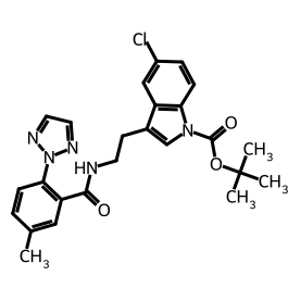 Cc1ccc(-n2nccn2)c(C(=O)NCCc2cn(C(=O)OC(C)(C)C)c3ccc(Cl)cc23)c1